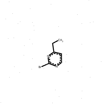 CCc1ccnc(Br)n1